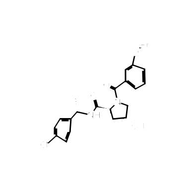 CCOc1cccc(C(=O)N2C[C@H](O)C[C@H]2C(=O)N[C@@H](C)c2ccc(Cl)cc2)c1